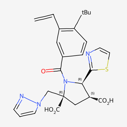 C=Cc1cc(C(=O)N2[C@@H](c3nccs3)[C@@H](C(=O)O)C[C@@]2(Cn2cccn2)C(=O)O)ccc1C(C)(C)C